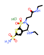 CCNC(=O)CCN1C[C@H](NCC)c2cc(S(N)(=O)=O)sc2S1(=O)=O.Cl